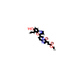 CCCc1c(O)cccc1OC(C1=CC=N1)c1ccc2ncc(CCC(=O)OCC)c(=O)n2c1